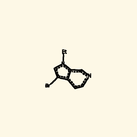 CCn1cc(Br)c2ccncc21